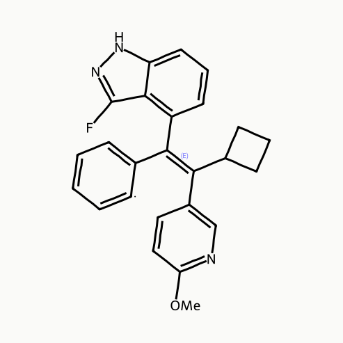 COc1ccc(/C(=C(\c2[c]cccc2)c2cccc3[nH]nc(F)c23)C2CCC2)cn1